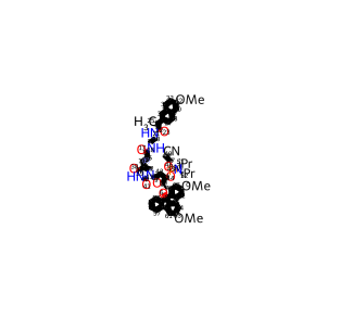 COc1ccc(C(OC[C@H]2O[C@@H](n3cc(/C=C/C(=O)NCCNC(=O)[C@@H](C)c4ccc5cc(OC)ccc5c4)c(=O)[nH]c3=O)C[C@H]2OP(OCCC#N)N(C(C)C)C(C)C)(c2ccccc2)c2ccc(OC)cc2)cc1